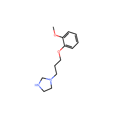 COc1c[c]ccc1OCCCN1CCNC1